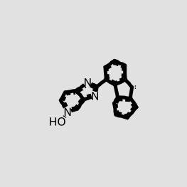 On1ccc2nc(-c3cccc4c3-c3ccccc3[C]4)nc-2c1